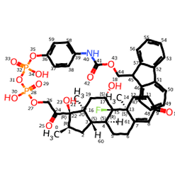 C[C@@H]1C[C@H]2[C@@H]3CCC4=CC(=O)C=C[C@]4(C)[C@@]3(F)[C@@H](O)C[C@]2(C)[C@@]1(O)C(=O)COP(=O)(O)OP(=O)(O)Oc1ccc(NC(=O)OCC2c3ccccc3-c3ccccc32)cc1